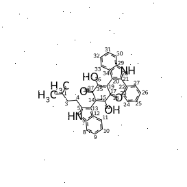 CC(C)CCc1[nH]c2ccccc2c1C1=C(O)C(=O)C(c2c(-c3ccccc3)[nH]c3ccccc23)=C(O)C1=O